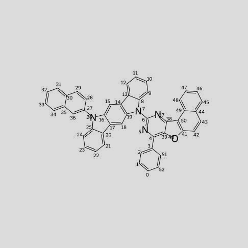 c1ccc(-c2nc(-n3c4ccccc4c4cc5c(cc43)c3ccccc3n5-c3ccc4ccccc4c3)nc3c2oc2ccc4ccccc4c23)cc1